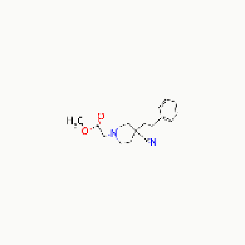 COC(=O)CN1CCC(C#N)(CCc2ccccc2)CC1